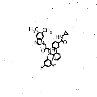 Cc1cc2ncn(CC(=O)N[C@@H](Cc3cc(F)cc(F)c3)c3ncccc3-c3cccc(C(=O)NC4CC4)c3)c2cc1C